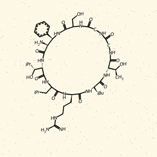 CC[C@H](C)[C@@H]1NC(=O)[C@@H](CCCNC(=N)N)NC(=O)C(CC(C)C)NC(=O)[C@H]([C@H](O)C(C)C)NC(=O)[C@@H](N)[C@@H](c2ccccc2)NC(=O)C(CO)NC(=O)CNC(=O)CNC(=O)[C@H]([C@H](C)O)NC1=O